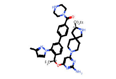 CCOC(=O)[C@@H]1CC2(CCN(c3cc(O[C@H](c4ccc(-c5ccc(C(=O)N6CCNCC6)cc5)cc4-n4ccc(C)n4)C(F)(F)F)nc(N)n3)CC2)CN1